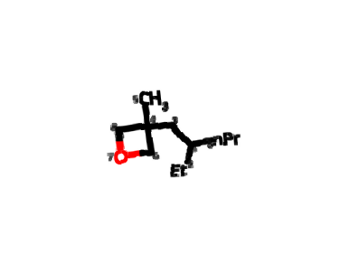 CCCC(CC)CC1(C)COC1